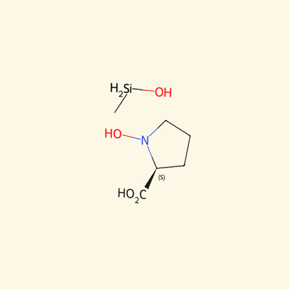 C[SiH2]O.O=C(O)[C@@H]1CCCN1O